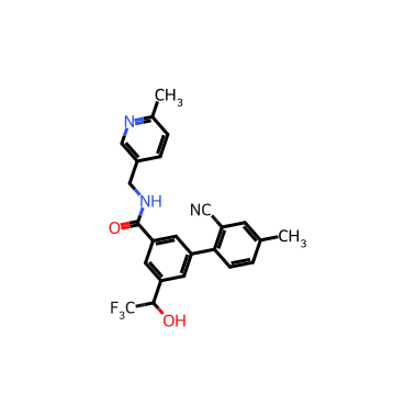 Cc1ccc(-c2cc(C(=O)NCc3ccc(C)nc3)cc(C(O)C(F)(F)F)c2)c(C#N)c1